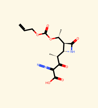 C=CCOC(=O)O[C@H](C)[C@H]1C(=O)N[C@@H]1[C@@H](C)C(=O)C(=[N+]=[N-])C(=O)O